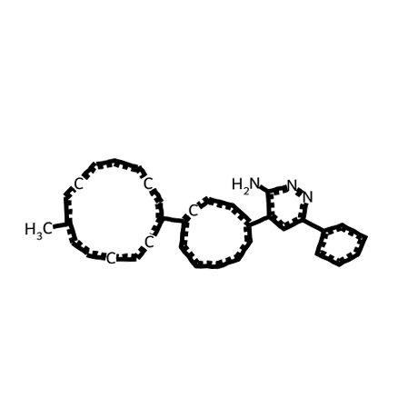 Cc1cccccccc(-c2cccccc(-c3cc(-c4ccccc4)nnc3N)ccc2)ccccc1